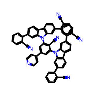 N#Cc1ccccc1-c1ccc2c3ccc(-c4ccccc4C#N)cc3n(-c3cc(-c4ccncc4)cc(-n4c5cc(-c6ccccc6C#N)ccc5c5ccc(-c6ccccc6C#N)cc54)c3C#N)c2c1